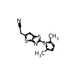 Cc1ccc(C)n1-c1nc2sc(CC#N)cc2s1